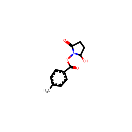 Cc1ccc(C(=O)ON2C(=O)CCC2O)cc1